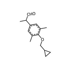 Cc1cc(C(C)C=O)cc(C)c1OCC1CC1